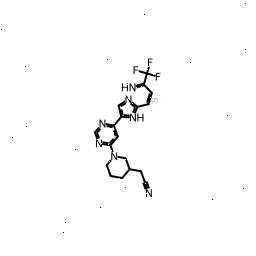 N#CCC1CCCN(c2cc(-c3cnc(/C=C\C(=N)C(F)(F)F)[nH]3)ncn2)C1